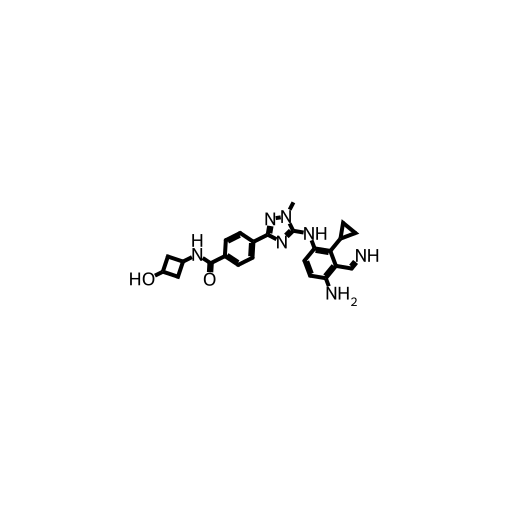 Cn1nc(-c2ccc(C(=O)NC3CC(O)C3)cc2)nc1Nc1ccc(N)c(C=N)c1C1CC1